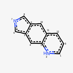 c1c[nH]c2cc3cncc3cc2c1